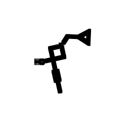 CC#CC1(O)CN(CC2CC2)C1